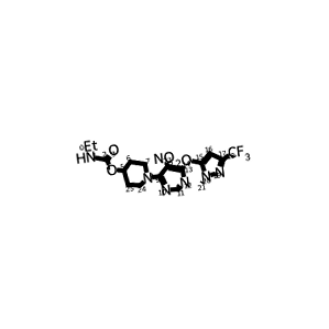 CCNC(=O)OC1CCN(c2ncnc(Oc3cc(C(F)(F)F)nn3C)c2[N+](=O)[O-])CC1